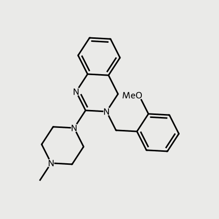 COc1ccccc1CN1Cc2ccccc2N=C1N1CCN(C)CC1